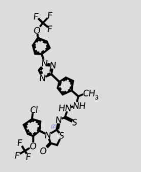 CC(NNC(=S)/N=C1\SCC(=O)N1c1cc(Cl)ccc1OC(F)(F)F)c1ccc(-c2ncn(-c3ccc(OC(F)(F)F)cc3)n2)cc1